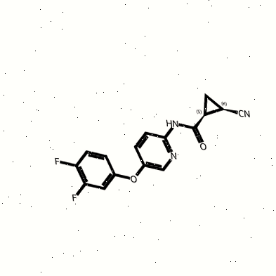 N#C[C@@H]1C[C@@H]1C(=O)Nc1ccc(Oc2ccc(F)c(F)c2)cn1